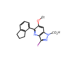 CCOc1cc2c(nc1-c1cccc3c1CCC3)c(I)nn2C(=O)O